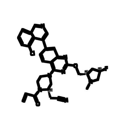 C=CC(=O)N1CCN(c2nc(OC[C@@H]3C[C@@H](F)CN3C)nc3cc(-c4cncc5cccc(Cl)c45)ccc23)C[C@@H]1CC#N